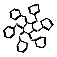 C1=CCCC(N=C2C(=N\C3C=CC=CC3)/C(=N\c3ccccc3)C(=Cc3ccccc3)C(=N\c3ccccc3)/C2=N\C2=CC=CCC2)=C1